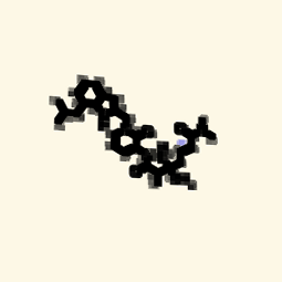 BC(B)(C/C=C/C(=O)N(C)C)C(C)C(=O)Nc1cccn(Cc2cc3cccc(CC(C)C)c3[nH]2)c1=O